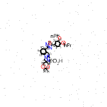 CCCOc1ccc(-c2nc(-c3cccc4c3CCN4CC3(NC(=O)O)COC(C)(C)OC3)no2)cc1OCCC